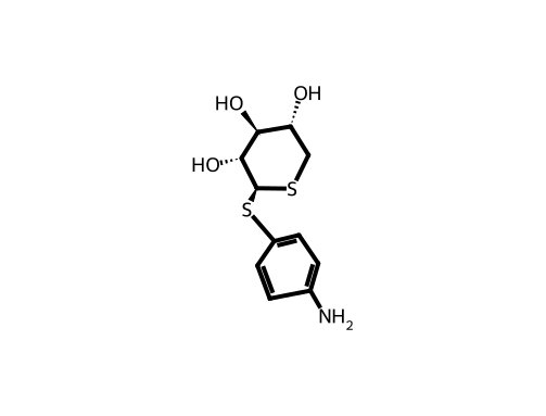 Nc1ccc(S[C@@H]2SC[C@@H](O)[C@H](O)[C@H]2O)cc1